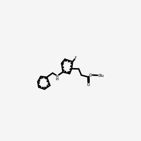 CC(C)(C)OC(=O)CCc1cc(NCc2ccccc2)ccc1F